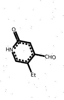 CCc1c[nH]c(=O)cc1C=O